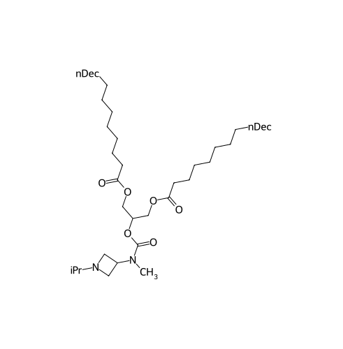 CCCCCCCCCCCCCCCCCC(=O)OCC(COC(=O)CCCCCCCCCCCCCCCCC)OC(=O)N(C)C1CN(C(C)C)C1